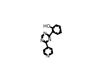 Oc1ccccc1-c1ncnc(-c2ccncc2)n1